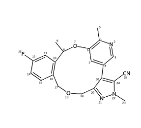 Cc1ncc2cc1OC(C)c1cc(F)ccc1COCc1nn(C)c(C#N)c1-2